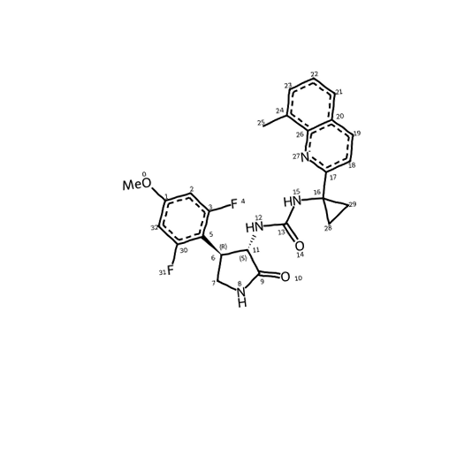 COc1cc(F)c([C@@H]2CNC(=O)[C@H]2NC(=O)NC2(c3ccc4cccc(C)c4n3)CC2)c(F)c1